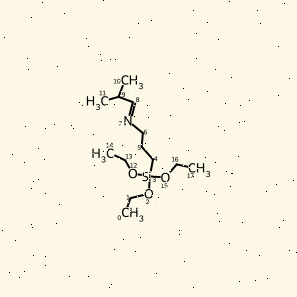 CCO[Si](CCCN=CC(C)C)(OCC)OCC